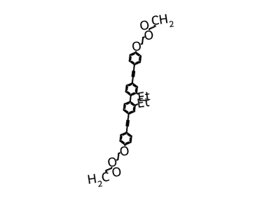 C=CC(=O)OCCOc1ccc(C#Cc2ccc(-c3ccc(C#Cc4ccc(OCCOC(=O)C=C)cc4)cc3CC)c(CC)c2)cc1